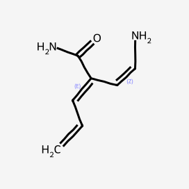 C=C/C=C(\C=C/N)C(N)=O